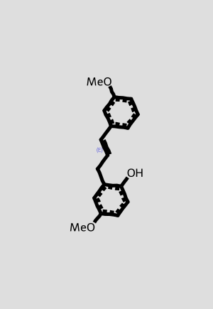 COc1cccc(/C=C/Cc2cc(OC)ccc2O)c1